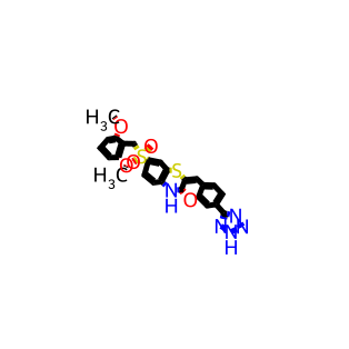 COc1cccc(OC)c1CS(=O)(=O)c1ccc2c(c1)S/C(=C/c1ccc(-c3nn[nH]n3)cc1)C(=O)N2